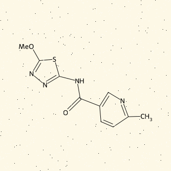 COc1nnc(NC(=O)c2ccc(C)nc2)s1